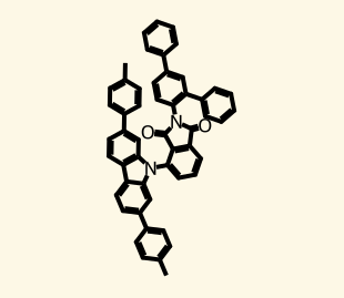 Cc1ccc(-c2ccc3c4ccc(-c5ccc(C)cc5)cc4n(-c4cccc5c4C(=O)N(c4ccc(-c6ccccc6)cc4-c4ccccc4)C5=O)c3c2)cc1